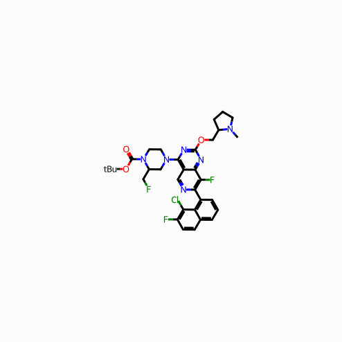 CN1CCCC1COc1nc(N2CCN(C(=O)OC(C)(C)C)C(CF)C2)c2cnc(-c3cccc4ccc(F)c(Cl)c34)c(F)c2n1